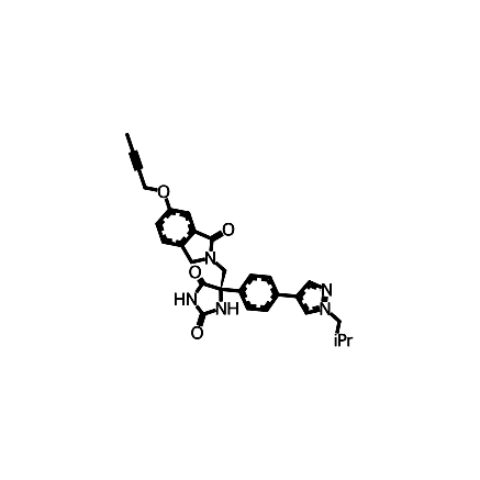 CC#CCOc1ccc2c(c1)C(=O)N(C[C@@]1(c3ccc(-c4cnn(CC(C)C)c4)cc3)NC(=O)NC1=O)C2